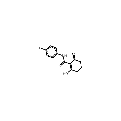 O=C1CCCC(O)=C1C(=S)Nc1ccc(F)cc1